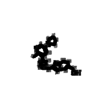 Cc1ncc(N2CCCC2)cc1-c1cn(Cc2cn3cc(CO)ccc3n2)nn1